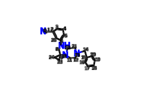 N#Cc1cccc(NCC2(N3CCN(Cc4ccccc4)CC3)CC2)c1